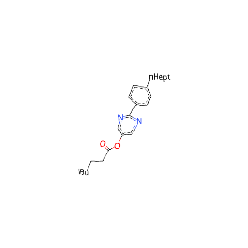 CCCCCCCc1ccc(-c2ncc(OC(=O)CCC(C)CC)cn2)cc1